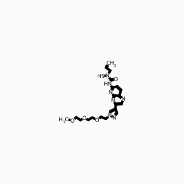 C=CCN(S)C(=O)Nc1ccc2ncc(-c3cnn(CCOCCOCCOC)c3)nc2n1